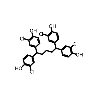 Oc1ccc(C(CCCC(c2ccc(O)c(Cl)c2)c2ccc(O)c(Cl)c2)c2ccc(O)c(Cl)c2)cc1Cl